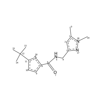 Cc1cc(CNC(=O)c2ccc(C(C)(C)C)s2)nn1C